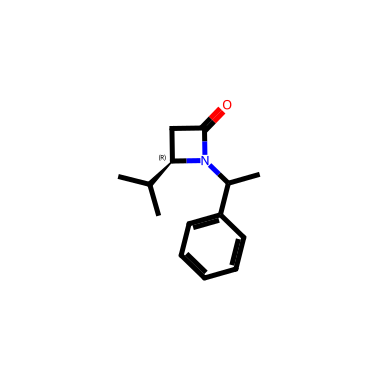 CC(C)[C@H]1CC(=O)N1C(C)c1ccccc1